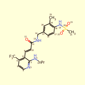 CCCNc1nccc(C(F)(F)F)c1C=CC(=O)NCc1ccc(NS(C)(=O)=O)c(C)c1